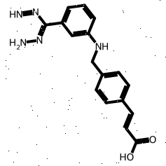 N=N/C(=N\N)c1cccc(NCc2ccc(/C=C/C(=O)O)cc2)c1